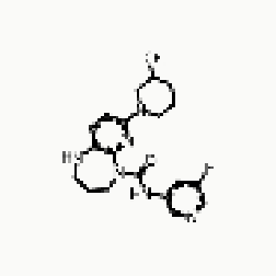 O=C(Nc1cncc(F)c1)N1CCCNc2ccc(N3CCCC(C(F)(F)F)C3)nc21